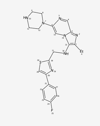 CCc1nc2cnc(N3CCNCC3)cn2c1NCc1nc(-c2ccc(F)cc2)cs1